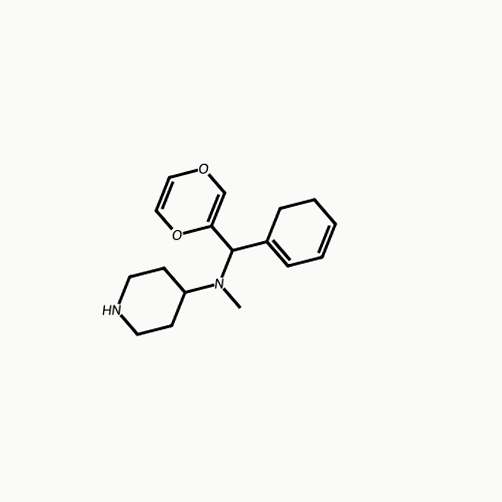 CN(C1CCNCC1)C(C1=CC=CCC1)C1=COC=CO1